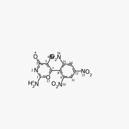 Nc1nc(=O)c(Br)c(-c2c([N+](=O)[O-])cc([N+](=O)[O-])cc2[N+](=O)[O-])o1